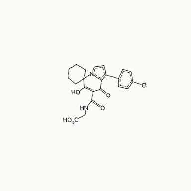 O=C(O)CNC(=O)C1=C(O)C2(CCCCC2)n2ccc(-c3ccc(Cl)cc3)c2C1=O